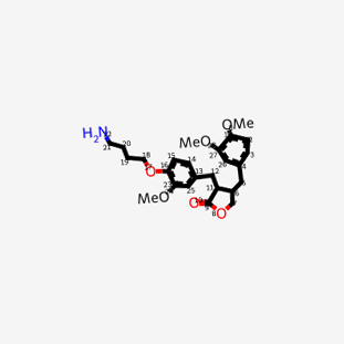 COc1ccc(CC2COC(=O)C2Cc2ccc(OCCCCN)c(OC)c2)cc1OC